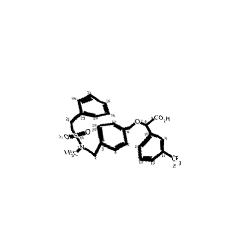 CN(Cc1ccc(OC(C(=O)O)c2cccc(C(F)(F)F)c2)cc1)S(=O)(=O)Cc1ccccc1